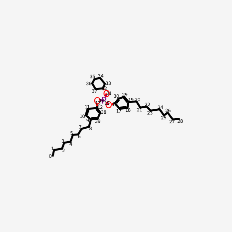 CCCCCCCCCc1ccc(OP(Oc2ccc(CCCCCCCCC)cc2)OC2CCCCC2)cc1